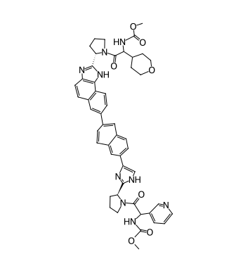 COC(=O)NC(C(=O)N1CCC[C@H]1c1nc(-c2ccc3cc(-c4ccc5c(ccc6nc([C@@H]7CCCN7C(=O)C(NC(=O)OC)C7CCOCC7)[nH]c65)c4)ccc3c2)c[nH]1)c1cccnc1